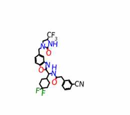 N#Cc1cccc(CC(=O)NC(c2nc3cc(CN4CC(C(F)(F)F)NC4=O)ccc3o2)C2CCC(F)(F)CC2)c1